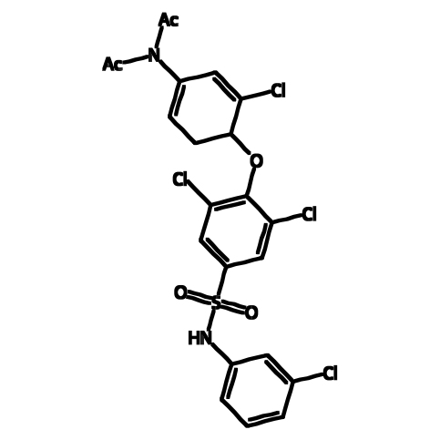 CC(=O)N(C(C)=O)C1=CCC(Oc2c(Cl)cc(S(=O)(=O)Nc3cccc(Cl)c3)cc2Cl)C(Cl)=C1